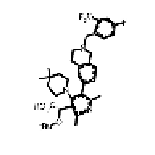 Cc1nc(C)c([C@H](OC(C)(C)C)C(=O)O)c(N2CCC(C)(C)CC2)c1-c1ccc2c(c1)CCN(Cc1ccc(F)cc1C(F)(F)F)C2